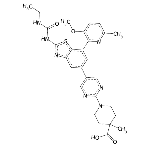 CCNC(=O)Nc1nc2cc(-c3cnc(N4CCC(C)(C(=O)O)CC4)nc3)cc(-c3nc(C)ccc3OC)c2s1